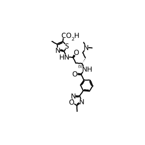 Cc1nc(-c2cccc(C(=O)N[C@@H](CCN(C)C)CC(=O)Nc3nc(C)c(C(=O)O)s3)c2)no1